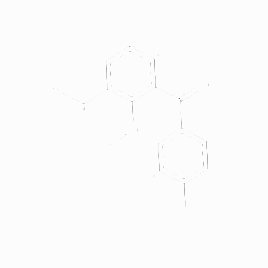 COc1c(CBr)cccc1C(=O)c1ccc(Cl)cc1